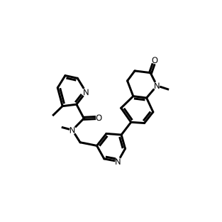 Cc1cccnc1C(=O)N(C)Cc1cncc(-c2ccc3c(c2)CCC(=O)N3C)c1